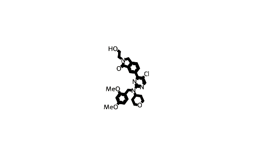 COc1ccc(CN(c2ncc(Cl)c(-c3ccc4c(c3)C(=O)N(CCO)C4)n2)C2CCOCC2)c(OC)c1